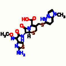 CO/N=C(\C(=O)N[C@@H]1C(=O)N2C(C(=O)O)=C(CSC3=CC=C4N(C)C=CN4N3)CS[C@@H]12)c1csc(N)n1